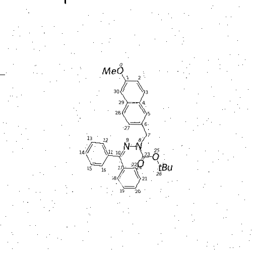 COc1ccc2cc(CN(N=C(c3ccccc3)c3ccccc3)C(=O)OC(C)(C)C)ccc2c1